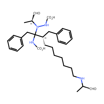 CC(C=O)NCCCCCCC[C@@H](Cc1ccccc1)C(Cc1ccccc1)(NC(=O)O)N(NC(=O)O)[C@@H](C)C=O